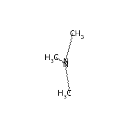 CCCCCCCCCCCCCCCCCN1C=CN(CCCCCCCCCCCCCCCCC)C1CCCCCC